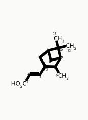 CC1C(C=CC(=O)O)CC2CC1C2(C)C